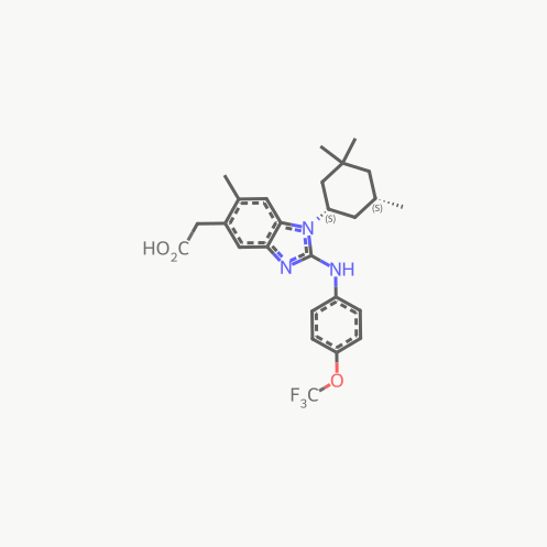 Cc1cc2c(cc1CC(=O)O)nc(Nc1ccc(OC(F)(F)F)cc1)n2[C@H]1C[C@@H](C)CC(C)(C)C1